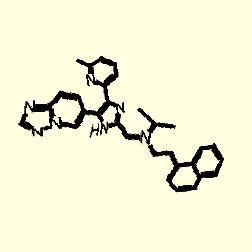 Cc1cccc(-c2nc(CN(CCc3cccc4ccccc34)C(C)C)[nH]c2-c2ccc3ncnn3c2)n1